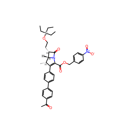 CC[Si](CC)(CC)OCC[C@@H]1C(=O)N2C(C(=O)OCc3ccc([N+](=O)[O-])cc3)=C(c3ccc(-c4ccc(C(C)=O)cc4)cc3)[C@H](C)[C@H]12